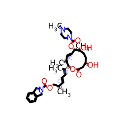 C/C(=C\C=C\[C@@H](C)COC(=O)N1Cc2ccccc2C1)[C@H]1OC(=O)C[C@H](O)CC[C@@](C)(O)[C@@H](OC(=O)N2CCN(C)CC2)/C=C/[C@@H]1C